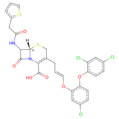 O=C(Cc1cccs1)NC1C(=O)N2C(C(=O)O)=C(CC=COc3cc(Cl)ccc3Oc3ccc(Cl)cc3Cl)CS[C@@H]12